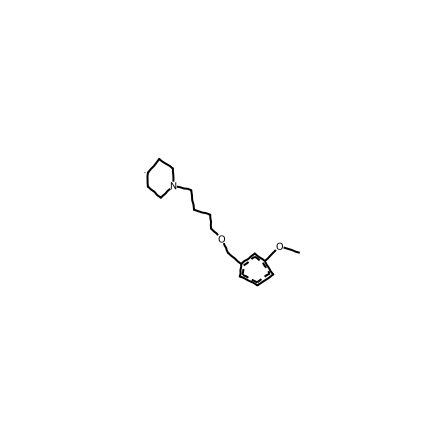 COc1cccc(COCCCCN2CC[CH]CC2)c1